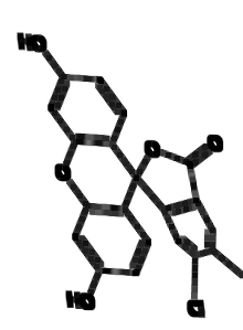 O=C1OC2(c3ccc(O)cc3Oc3cc(O)ccc32)c2cc(Cl)c(Cl)cc21